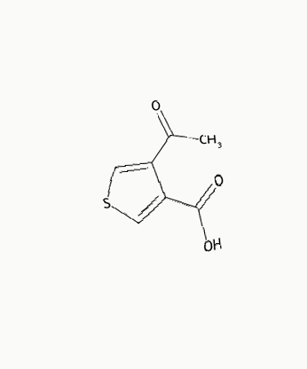 CC(=O)c1cscc1C(=O)O